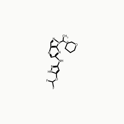 CC([C@@H]1CCCOC1)n1ncc2ncc(Nc3cc(OC(F)F)[nH]n3)nc21